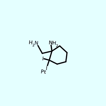 NCC1(N)CCCCC1(I)I.[Pt]